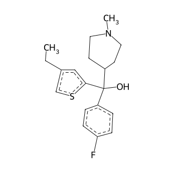 CCc1csc(C(O)(c2ccc(F)cc2)C2CCN(C)CC2)c1